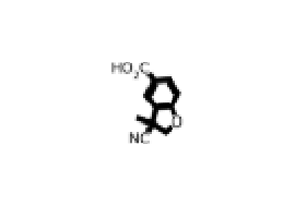 CC1(C#N)COc2ccc(C(=O)O)cc21